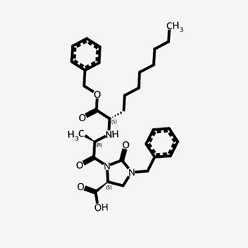 CCCCCCCC[C@H](N[C@H](C)C(=O)N1C(=O)N(Cc2ccccc2)C[C@H]1C(=O)O)C(=O)OCc1ccccc1